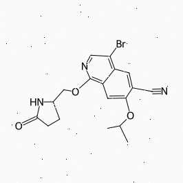 CC(C)Oc1cc2c(OCC3CCC(=O)N3)ncc(Br)c2cc1C#N